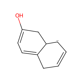 OC1=CC=C2CC=C[C]C2C1